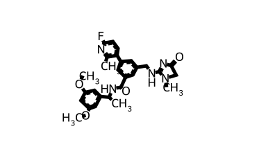 COc1cc(OC)cc(C(C)NC(=O)c2cc(CNC3=NC(=O)CN3C)cc(-c3ccc(F)nc3C)c2)c1